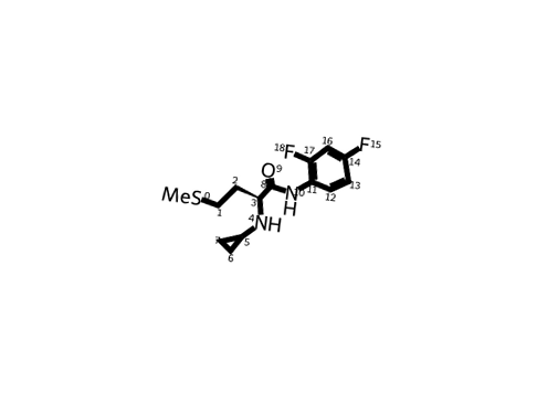 CSCC[C@H](NC1CC1)C(=O)Nc1ccc(F)cc1F